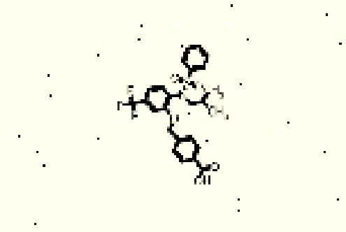 C=C(C)CN(c1ccc(C(F)(F)F)cc1OCc1ccc(C(=O)O)cc1)S(=O)(=O)c1ccccc1